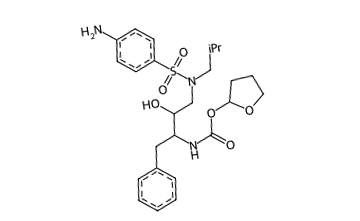 CC(C)CN(CC(O)C(Cc1ccccc1)NC(=O)OC1CCCO1)S(=O)(=O)c1ccc(N)cc1